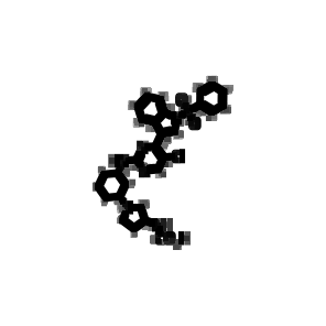 O=C(O)NC1CCN([C@H]2CCC[C@@H](Nc3ncc(Cl)c(-c4cn(S(=O)(=O)c5ccccc5)c5ccccc45)n3)C2)C1